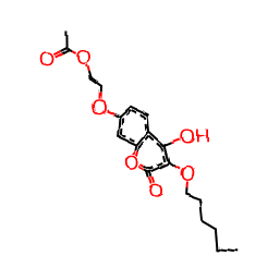 CCCCCCOc1c(O)c2ccc(OCCOC(C)=O)cc2oc1=O